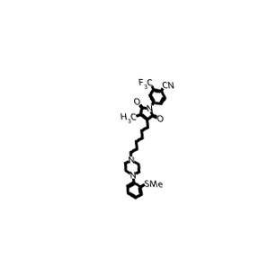 CSc1ccccc1N1CCN(CCCCCCC2=C(C)C(=O)N(c3ccc(C#N)c(C(F)(F)F)c3)C2=O)CC1